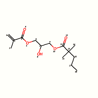 C=C(C)C(=O)OCC(O)COC(=O)C(C)(C)CCC